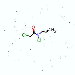 C=CCN(Cl)C(=O)CCl